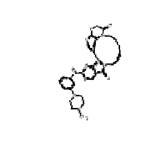 CN1CCN(c2cccc(Nc3ncc4c(=O)n5n(c4n3)-c3cnc4c(c3)N(CCC/C=C\C5)C(=O)CO4)c2)CC1